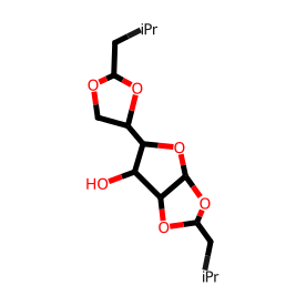 CC(C)CC1OCC(C2OC3OC(CC(C)C)OC3C2O)O1